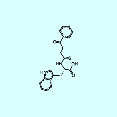 O=C(CCC(=S)N[C@@H](Cc1c[nH]c2ccccc12)C(=O)O)c1ccccc1